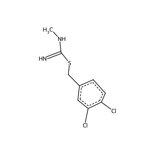 CNC(=N)SCc1ccc(Cl)c(Cl)c1